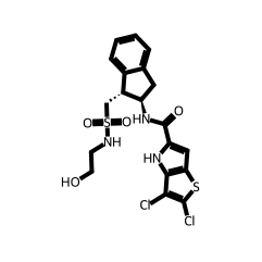 O=C(N[C@@H]1Cc2ccccc2[C@H]1CS(=O)(=O)NCCO)c1cc2sc(Cl)c(Cl)c2[nH]1